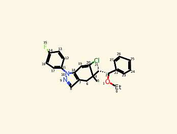 CCO[C@H](CC1(C)Cc2cnn(-c3ccc(F)cc3)c2C=C1Cl)c1ccccc1